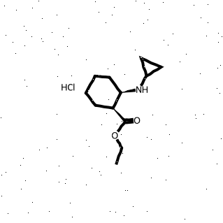 CCOC(=O)[C@H]1CCCC[C@H]1NC1CC1.Cl